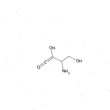 NC(CO)C(O)=C=O